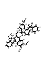 CCC1(CC)c2ccccc2-c2c1c1c(c3cc(OC)c(OC)cc23)OC(c2ccc(OC)cc2)(c2ccc3c(c2)C(C)(C)c2ccccc2-3)C=C1